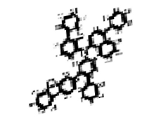 c1ccc(-c2ccc(N(c3ccc(-c4ccccc4)c4ccccc34)c3cccc4c3sc3ccccc34)cc2-c2ccc3c(c2)oc2ccccc23)cc1